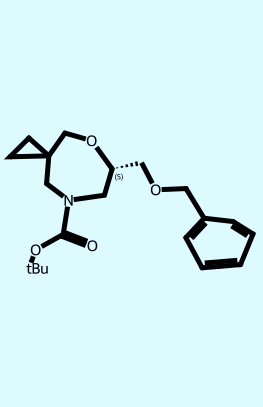 CC(C)(C)OC(=O)N1C[C@@H](COCc2ccccc2)OCC2(CC2)C1